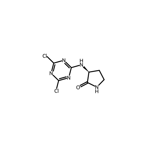 O=C1NCC[C@@H]1Nc1nc(Cl)nc(Cl)n1